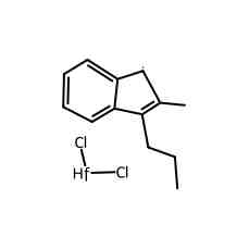 CCCC1=C(C)[CH]c2ccccc21.[Cl][Hf][Cl]